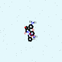 CCN(CC)c1ccc2c(c1)Oc1cc(N(CC)CC)ccc1C21c2ccccc2C(=O)N1NCc1ccccc1O